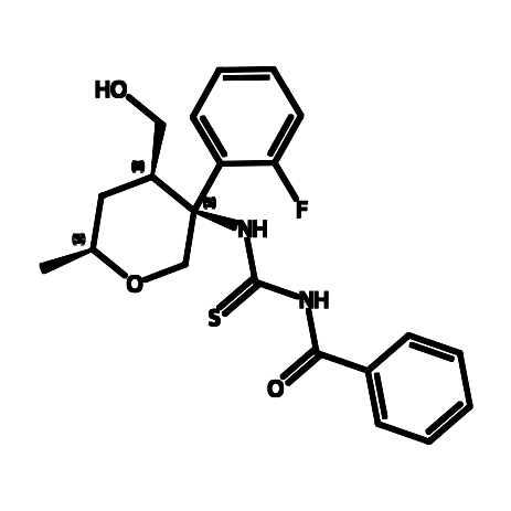 C[C@H]1C[C@@H](CO)[C@](NC(=S)NC(=O)c2ccccc2)(c2ccccc2F)CO1